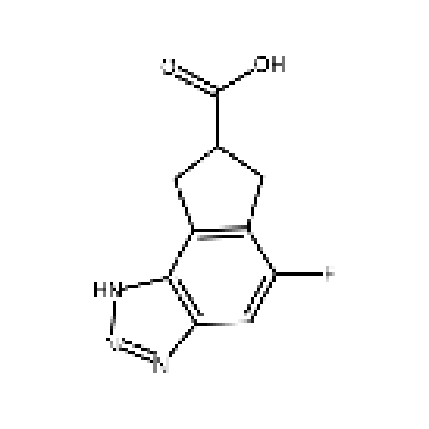 O=C(O)C1Cc2c(F)cc3nn[nH]c3c2C1